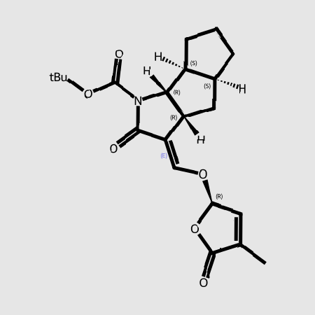 CC1=C[C@H](O/C=C2/C(=O)N(C(=O)OC(C)(C)C)[C@@H]3[C@H]4CCC[C@H]4C[C@H]23)OC1=O